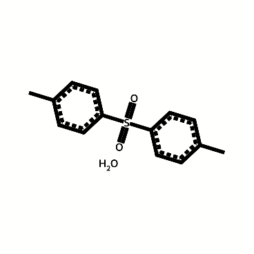 Cc1ccc(S(=O)(=O)c2ccc(C)cc2)cc1.O